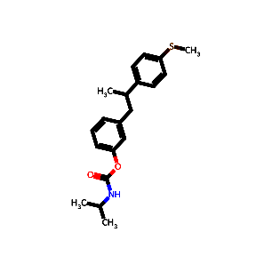 CSc1ccc(C(C)Cc2cccc(OC(=O)NC(C)C)c2)cc1